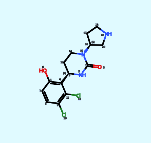 O=C1N[C@@H](c2c(O)ccc(Cl)c2Cl)CCN1[C@H]1CCNC1